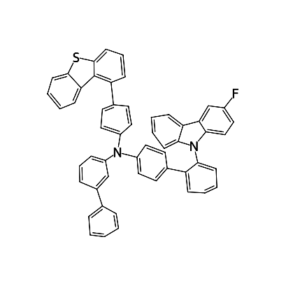 Fc1ccc2c(c1)c1ccccc1n2-c1ccccc1-c1ccc(N(c2ccc(-c3cccc4sc5ccccc5c34)cc2)c2cccc(-c3ccccc3)c2)cc1